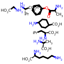 CC(C)C[C@H](N)C(=O)O.CC(C)[C@H](N)C(=O)O.C[C@H](N)C(=O)O.C[C@H](N)C(=O)Oc1ccccc1.NC1CCC(C(=O)O)CC1.NCC(=O)O.NCCCC[C@H](N)C(=O)O